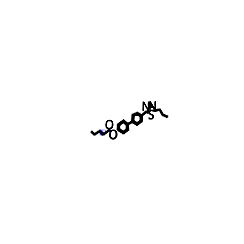 CC/C=C/C(=O)Oc1ccc(-c2ccc(-c3nnc(CCC)s3)cc2)cc1